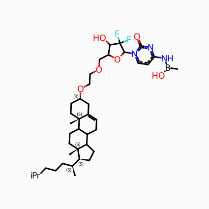 CB(O)Nc1ccn(C2OC(COCCO[C@@H]3CC[C@]4(C)C(=CCC5C4CC[C@]4(C)C5CC[C@H]4[C@@H](C)CCCC(C)C)C3)C(O)C2(F)F)c(=O)n1